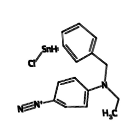 CCN(Cc1ccccc1)c1ccc([N+]#N)cc1.[Cl][SnH]